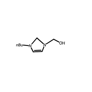 CCCCN1C=CN(CO)C1